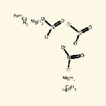 O=[Si]([O-])[O-].O=[Si]([O-])[O-].O=[Si]([O-])[O-].[CaH2].[CaH2].[Fe+3].[Fe+3].[MgH2].[MgH2]